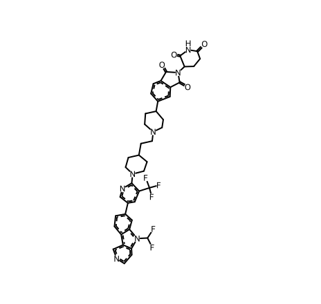 O=C1CCC(N2C(=O)c3ccc(C4CCN(CCC5CCN(c6ncc(-c7ccc8c9cnccc9n(C(F)F)c8c7)cc6C(F)(F)F)CC5)CC4)cc3C2=O)C(=O)N1